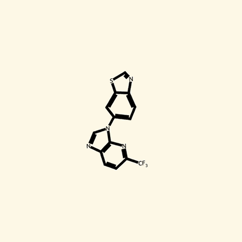 FC(F)(F)c1ccc2ncn(-c3ccc4ncsc4c3)c2n1